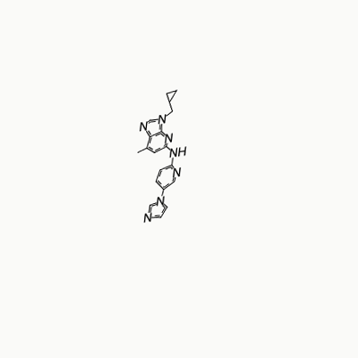 Cc1cc(Nc2ccc(-n3ccnc3)cn2)nc2c1ncn2CC1CC1